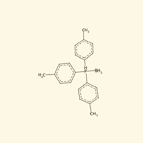 B[PH](c1ccc(C)cc1)(c1ccc(C)cc1)c1ccc(C)cc1